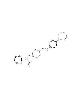 O=C1OC2(CCC(CNc3ccc(N4CCOCC4)cn3)CC2)CN1c1ccccn1